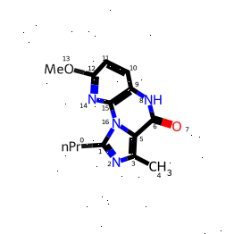 CCCc1nc(C)c2c(=O)[nH]c3ccc(OC)nc3n12